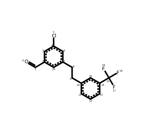 O=Cc1cc(Cl)cc(CCc2cccc(C(F)(F)F)c2)c1